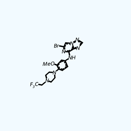 COc1cc(Nc2nc(Br)cn3ncnc23)ccc1N1CCN(CC(F)(F)F)CC1